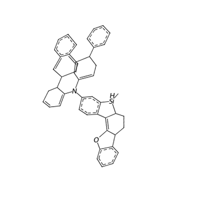 C[SiH]1c2cc(N(C3=CCC(c4ccccc4)C=C3)C3=CC=CCC3C3C=c4ccccc4=CC3)ccc2C2=C3Oc4ccccc4C3CCC21